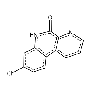 O=c1[nH]c2cc(Cl)ccc2c2cccnc12